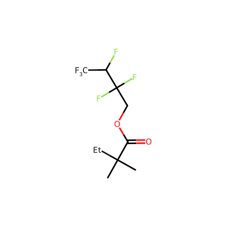 CCC(C)(C)C(=O)OCC(F)(F)C(F)C(F)(F)F